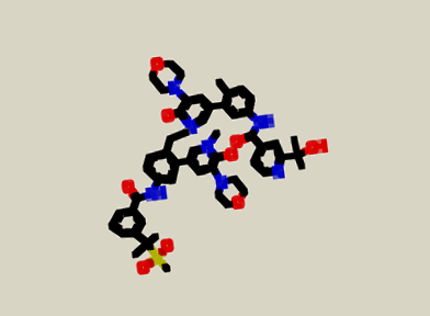 Cc1ccc(NC(=O)c2ccnc(C(C)(C)O)c2)cc1-c1cc(N2CCOCC2)c(=O)n(CCc2ccc(NC(=O)c3cccc(C(C)(C)S(C)(=O)=O)c3)cc2-c2cc(N3CCOCC3)c(=O)n(C)c2)c1